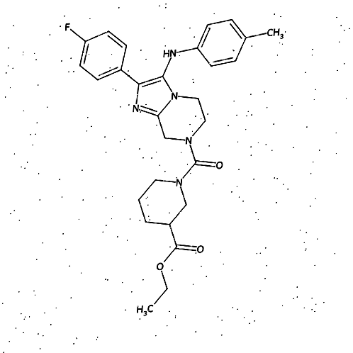 CCOC(=O)C1CCCN(C(=O)N2CCn3c(nc(-c4ccc(F)cc4)c3Nc3ccc(C)cc3)C2)C1